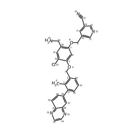 Cc1c(COc2cc(OCc3cncc(C#N)c3)c(CN)cc2Cl)cccc1-c1ccc2nccnc2c1